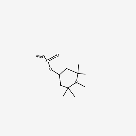 CO[Si](=O)OC1CC(C)(C)N(C)C(C)(C)C1